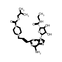 CCNC(=O)[C@H]1O[C@@H](n2cnc3c(N)nc(C#CCN4CCN(C(=O)OCC(C)C)CC4)nc32)[C@@H](O)C1O